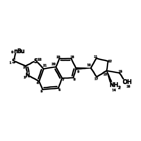 CCCCSc1nc2ccc3cc([C@H]4CC[C@](N)(CO)C4)ccc3c2s1